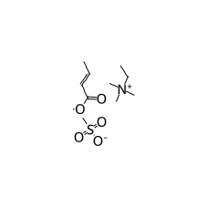 CC=CC([O])=O.CC[N+](C)(C)C.CS(=O)(=O)[O-]